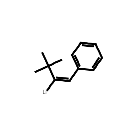 [Li][C](=Cc1ccccc1)C(C)(C)C